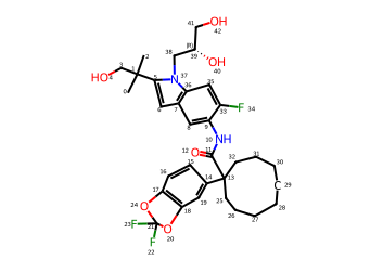 CC(C)(CO)c1cc2cc(NC(=O)C3(c4ccc5c(c4)OC(F)(F)O5)CCCCCCCC3)c(F)cc2n1C[C@@H](O)CO